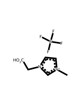 C[n+]1ccn(CC(=O)O)c1.F[B-](F)(F)F